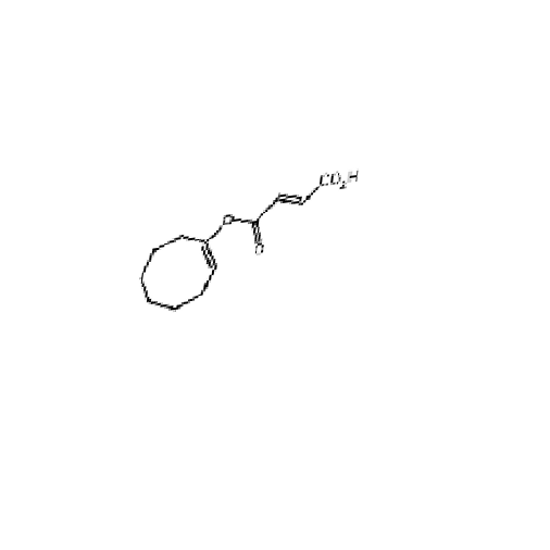 O=C(O)/C=C/C(=O)OC1=CCCCCCC1